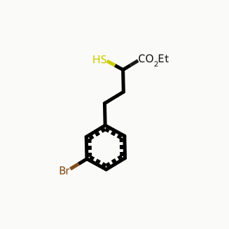 CCOC(=O)C(S)CCc1cccc(Br)c1